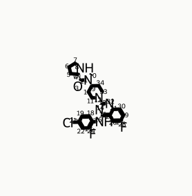 CN(C(=O)[C@@H]1CCCN1)C1CCN(c2nc(Nc3ccc(Cl)cc3F)c3cc(F)ccc3n2)CC1